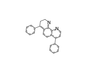 c1ccc(C2=c3ccc4c(-c5ccccc5)ccnc4c3=NCC2)cc1